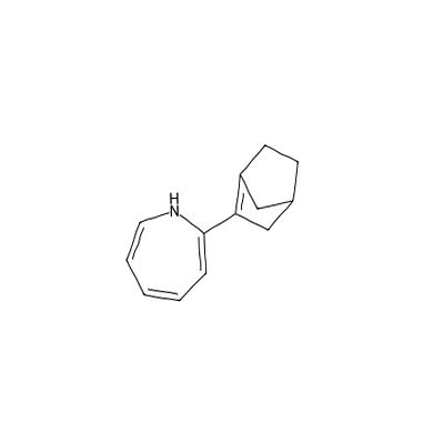 C1=CC=C(C2=C3CCC(C3)C2)NC=C1